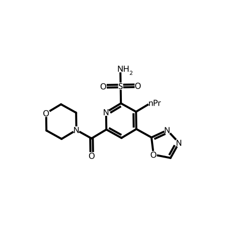 CCCc1c(-c2nnco2)cc(C(=O)N2CCOCC2)nc1S(N)(=O)=O